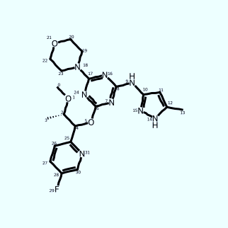 CO[C@@H](C)C(Oc1nc(Nc2cc(C)[nH]n2)nc(N2CCOCC2)n1)c1ccc(F)cn1